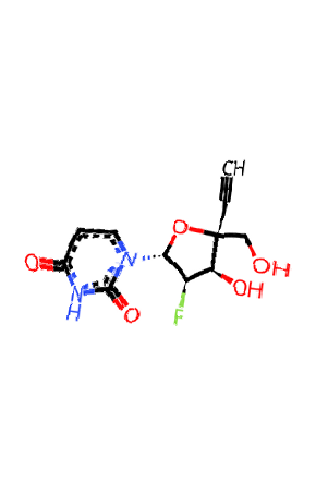 C#C[C@]1(CO)O[C@@H](n2ccc(=O)[nH]c2=O)[C@H](F)[C@@H]1O